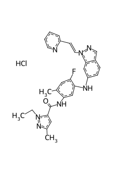 CCn1nc(C)cc1C(=O)Nc1cc(Nc2ccc3cnn(C=Cc4ccccn4)c3c2)c(F)cc1C.Cl